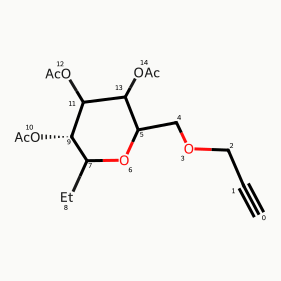 C#CCOCC1OC(CC)[C@H](OC(C)=O)C(OC(C)=O)C1OC(C)=O